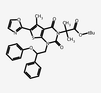 Cc1c(-c2ncco2)sc2c1c(=O)n(C(C)(C)C(=O)OC(C)(C)C)c(=O)n2CC(Oc1ccccc1)c1ccccc1